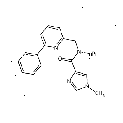 CCCN(Cc1cccc(-c2ccccc2)n1)C(=O)c1cn(C)cn1